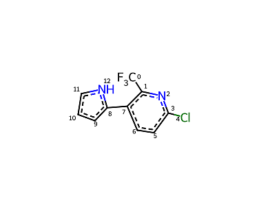 FC(F)(F)c1nc(Cl)ccc1-c1ccc[nH]1